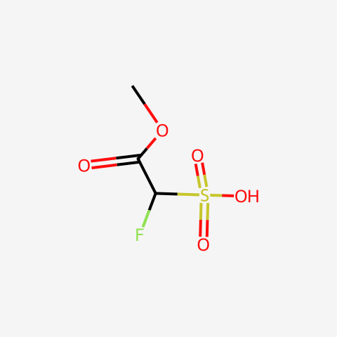 COC(=O)C(F)S(=O)(=O)O